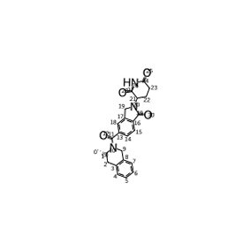 C[C@H]1Cc2ccccc2CN1C(=O)c1ccc2c(c1)CN(C1CCC(=O)NC1=O)C2=O